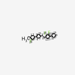 Cc1ccc(-c2ccc(CCc3ccc(-c4ccccc4)c(F)c3F)cc2)cc1F